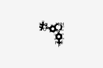 CC1(C)OB(c2ccc3c(c2)CNCCN3c2ccc(C(F)(F)F)cc2)OC1(C)C